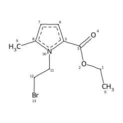 CCOC(=O)c1ccc(C)n1CCBr